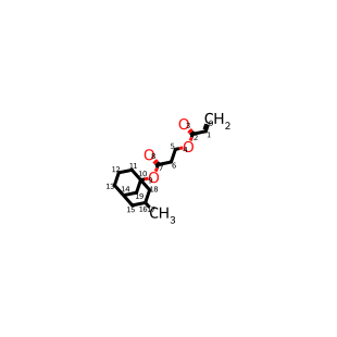 C=CC(=O)OCCC(=O)OC12CCCC(CC(C)C1)C2